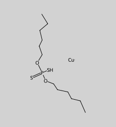 CCCCCCOP(=S)(S)OCCCCCC.[Cu]